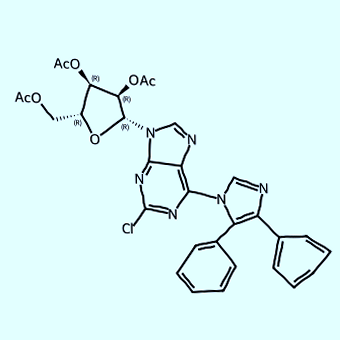 CC(=O)OC[C@H]1O[C@@H](n2cnc3c(-n4cnc(-c5ccccc5)c4-c4ccccc4)nc(Cl)nc32)[C@H](OC(C)=O)[C@@H]1OC(C)=O